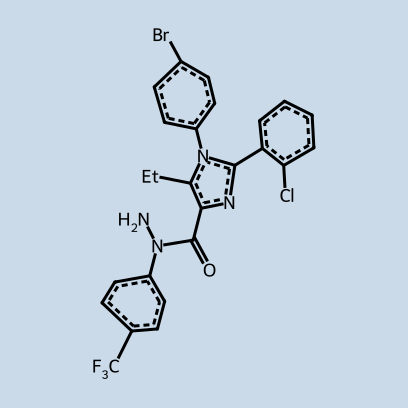 CCc1c(C(=O)N(N)c2ccc(C(F)(F)F)cc2)nc(-c2ccccc2Cl)n1-c1ccc(Br)cc1